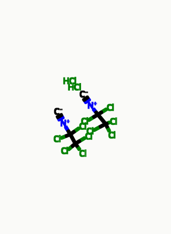 Cl.Cl.[C-]#[N+]C(Cl)(Cl)C(Cl)(Cl)Cl.[C-]#[N+]C(Cl)(Cl)C(Cl)(Cl)Cl